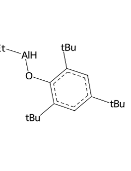 C[CH2][AlH][O]c1c(C(C)(C)C)cc(C(C)(C)C)cc1C(C)(C)C